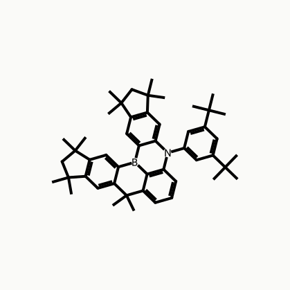 CC(C)(C)c1cc(N2c3cc4c(cc3B3c5cc6c(cc5C(C)(C)c5cccc2c53)C(C)(C)CC6(C)C)C(C)(C)CC4(C)C)cc(C(C)(C)C)c1